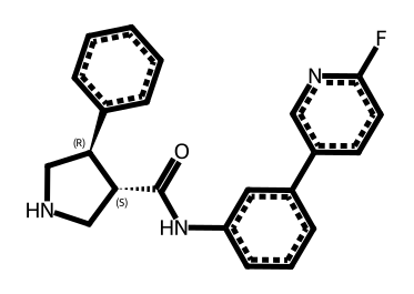 O=C(Nc1cccc(-c2ccc(F)nc2)c1)[C@@H]1CNC[C@H]1c1ccccc1